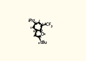 CC(C)c1cc(C(F)(F)F)c2oc(C(C)(C)C)cc2c1